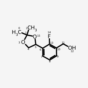 CC1(C)OCC(c2cccc(CO)c2F)O1